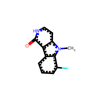 Cn1c2cc[nH]c(=O)c2c2cccc(F)c21